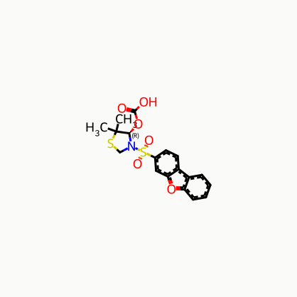 CC1(C)SCN(S(=O)(=O)c2ccc3c(c2)oc2ccccc23)[C@@H]1OC(=O)O